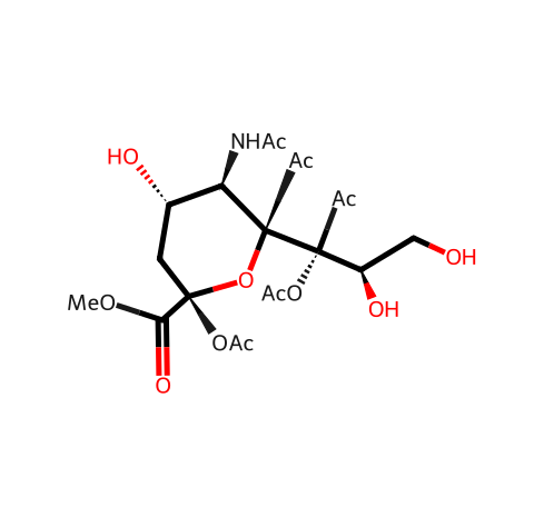 COC(=O)[C@]1(OC(C)=O)C[C@H](O)[C@@H](NC(C)=O)[C@](C(C)=O)([C@@](OC(C)=O)(C(C)=O)[C@H](O)CO)O1